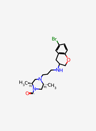 C[C@@H]1CN([C]=O)[C@@H](C)CN1CCCNC1COc2ccc(Br)cc2C1